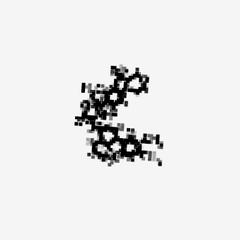 Cc1cc(N2CCOC[C@@H]2C(F)(F)F)cc(F)c1C(=O)N[C@@H](Cc1ccc(-c2c(C)cc(C)n(C)c2=O)c2c1CCCO2)C(=O)O